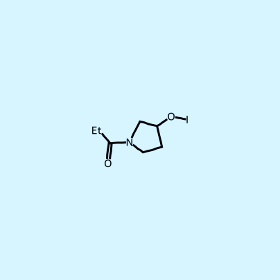 CCC(=O)N1CCC(OI)C1